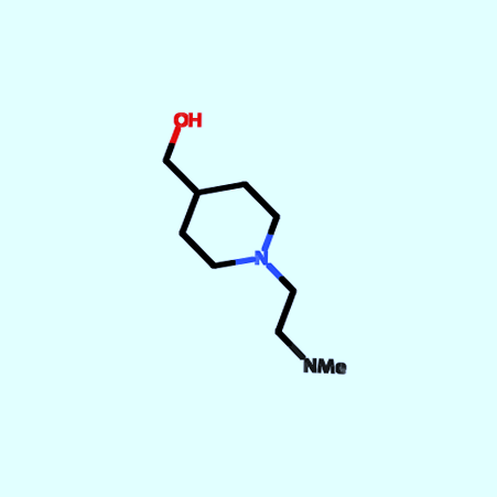 [CH2-][NH2+]CCN1CCC(CO)CC1